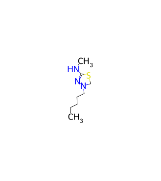 CCCCCN1CSC(NC)=N1